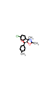 CC1=N[C@@](C)(c2ccc(Cl)cc2)[C@H](C(=O)c2ccc(C)cc2)O1